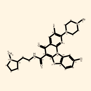 CC(C)N1CCN(c2nc3c(cc2F)c(=O)c(C(=O)NCCC2CCCN2C)c2sc4ccc(Cl)cc4n23)CC1